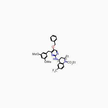 CCOC(=O)N1c2ccc(C(F)(F)F)cc2[C@@H](Nc2ncc(OCc3ccccc3)c(Cc3cc(OC)cc(OC)c3)n2)C[C@H]1CC